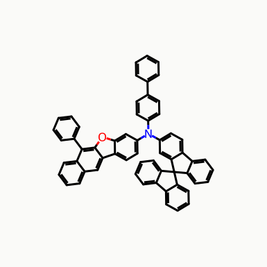 c1ccc(-c2ccc(N(c3ccc4c(c3)C3(c5ccccc5-c5ccccc53)c3ccccc3-4)c3ccc4c(c3)oc3c(-c5ccccc5)c5ccccc5cc34)cc2)cc1